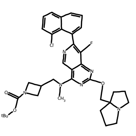 CN(CC1CN(C(=O)OC(C)(C)C)C1)c1nc(OCC23CCCN2CCC3)nc2c(F)c(-c3cccc4cccc(Cl)c34)ncc12